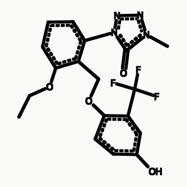 CCOc1cccc(-n2nnn(C)c2=O)c1COc1ccc(O)cc1C(F)(F)F